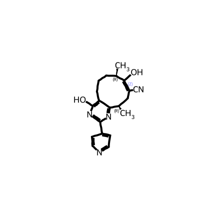 C[C@@H]1CCCc2c(O)nc(-c3ccncc3)nc2[C@H](C)C/C(C#N)=C\1O